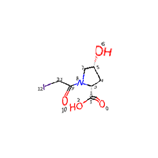 O=C(O)[C@H]1C[C@@H](O)CN1C(=O)CI